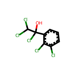 OC(Cl)(c1cccc(Cl)c1Cl)C(Cl)Cl